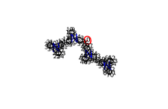 O=C(c1ccc(-n2c3ccccc3c3cc(-c4ccc5c(c4)c4ccccc4n5-c4ccccc4)ccc32)cc1)c1ccc(-n2c3ccccc3c3cc(-c4ccc5c(c4)c4ccccc4n5-c4ccccc4)ccc32)cc1